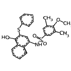 COc1c(C)cc(S(=O)(=O)Nc2cc(Sc3ccccc3)c(O)c3ccccc23)cc1C